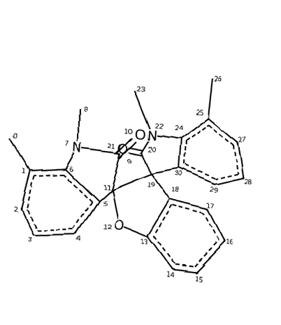 Cc1cccc2c1N(C)C(=O)C21Oc2ccccc2C12C(=O)N(C)c1c(C)cccc12